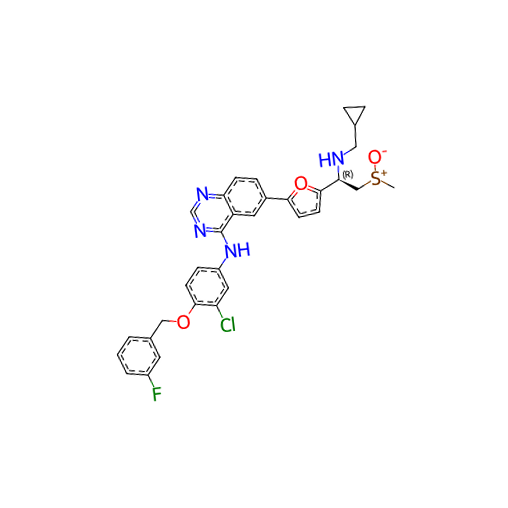 C[S+]([O-])C[C@H](NCC1CC1)c1ccc(-c2ccc3ncnc(Nc4ccc(OCc5cccc(F)c5)c(Cl)c4)c3c2)o1